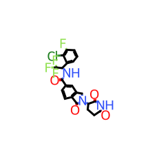 O=C1CCC(N2Cc3cc(C(=O)N[C@H](c4cccc(F)c4Cl)C(F)(F)F)ccc3C2=O)C(=O)N1